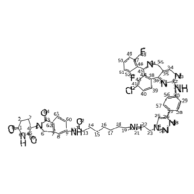 O=C1CCC(N2Cc3cc(NC(=O)CCCCCCCNCCCn4cc(-c5ccc(Nc6ncc7c(n6)-c6ccc(Cl)cc6C(c6c(F)cccc6F)=NC7)cc5)nn4)ccc3C2=O)C(=O)N1